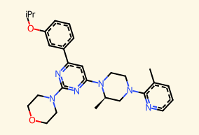 Cc1cccnc1N1CCN(c2cc(-c3cccc(OC(C)C)c3)nc(N3CCOCC3)n2)[C@H](C)C1